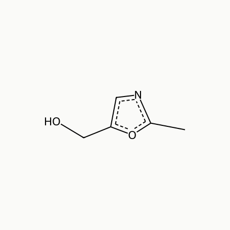 Cc1ncc(CO)o1